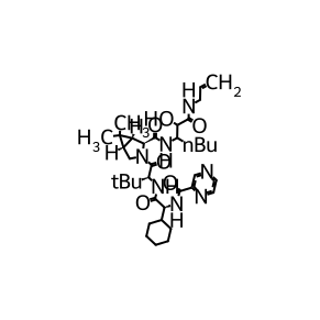 C=CCNC(=O)C(O)C(CCCC)NC(=O)[C@@H]1[C@@H]2[C@H](CN1C(=O)[C@@H](NC(=O)[C@@H](NC(=O)c1cnccn1)C1CCCCC1)C(C)(C)C)C2(C)C